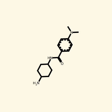 CN(C)c1ccc(C(=O)NC2CCC(N)CC2)cc1